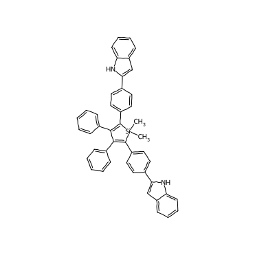 C[Si]1(C)C(c2ccc(-c3cc4ccccc4[nH]3)cc2)=C(c2ccccc2)C(c2ccccc2)=C1c1ccc(-c2cc3ccccc3[nH]2)cc1